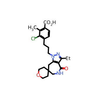 CCc1nn(CCCc2ccc(C(=O)O)c(C)c2Cl)c2c1C(=O)NCC1(CCOCC1)C2